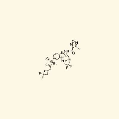 Cc1nonc1C(=O)N[C@@H](C[C@H]1CCC(F)(F)C1)c1nc2ccc([C@H](NC(=O)CC3CC(F)(F)C3)C3CC3)cc2[nH]1